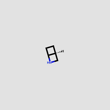 C1C[C@H]2CNC12